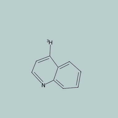 [3H]c1ccnc2ccccc12